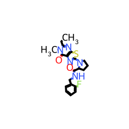 CCc1nc2sc(N3CCCC3C(=O)NCc3ccccc3F)nc2c(=O)n1C